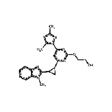 Cc1nc(C)n(-c2cc(C3CC3c3nc4ccccc4n3C)nc(OCCO)n2)n1